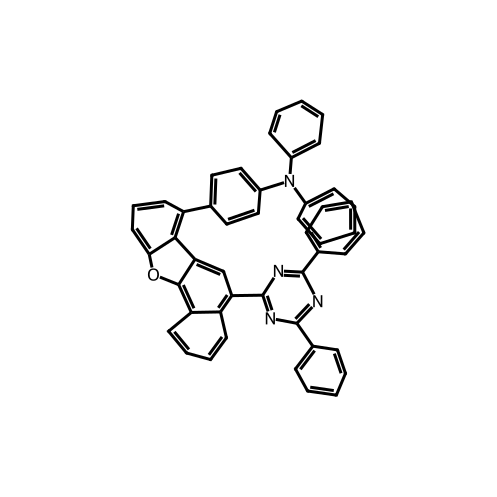 c1ccc(-c2nc(-c3ccccc3)nc(-c3cc4c(oc5cccc(-c6ccc(N(c7ccccc7)c7ccccc7)cc6)c54)c4ccccc34)n2)cc1